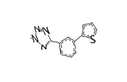 c1cc(C2=N[N]N=N2)cc(-c2cccs2)c1